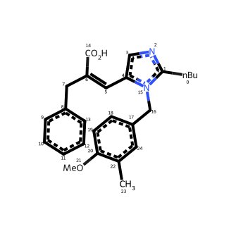 CCCCc1ncc(C=C(Cc2ccccc2)C(=O)O)n1Cc1ccc(OC)c(C)c1